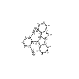 N#Cc1cccc(C#N)c1-n1c2ccccc2c2sc3ccccc3c21